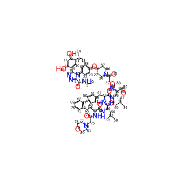 CCNC(=O)c1nnc(-c2cc(C(C)C)c(O)cc2O)n1-c1ccc(OC2CCN(C(=O)CO/N=C(/[C@H](CC(C)C)NC(=O)[C@H](Cc3ccccc3)NC(=O)[C@H](CC(C)C)NC(=O)[C@H](CCc3ccccc3)NC(=O)CN3CCOCC3)[C@@]3(C)CO3)CC2)cc1